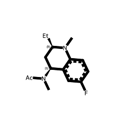 CC[C@@H]1C[C@H](N(C)C(C)=O)c2cc(F)ccc2N1C